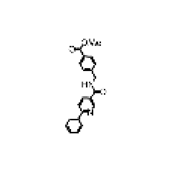 COC(=O)c1ccc(CNC(=O)c2ccc(-c3ccccc3)nc2)cc1